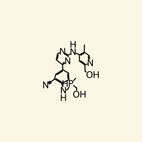 Cc1cnc(CO)cc1Nc1nccc(-c2cc(C#N)c3c(c2)[PH](C)(CO)CN3)n1